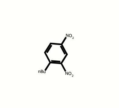 [CH2]CCCc1ccc([N+](=O)[O-])cc1[N+](=O)[O-]